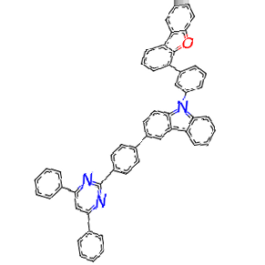 c1ccc(-c2cc(-c3ccccc3)nc(-c3ccc(-c4ccc5c(c4)c4ccccc4n5-c4cccc(-c5cccc6c5oc5ccccc56)c4)cc3)n2)cc1